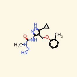 Cc1ccccc1OCc1c(NC(=O)N(C)N=N)n[nH]c1C1CC1